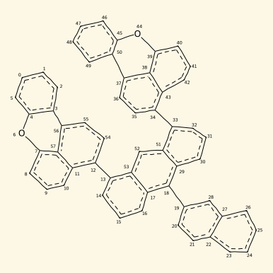 c1ccc2c(c1)Oc1cccc3c(-c4cccc5c(-c6ccc7ccccc7c6)c6cccc(-c7ccc8c9c(cccc79)Oc7ccccc7-8)c6cc45)ccc-2c13